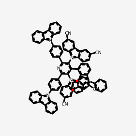 N#Cc1ccc2c(c1)c1cc(C#N)ccc1n2-c1c(-c2ccc(-n3c4ccccc4c4ccccc43)cc2)nc(-c2ccc(-n3c4ccccc4c4ccccc43)cc2)c(-n2c3ccc(C#N)cc3c3cc(C#N)ccc32)c1-c1cccc2c1c1ccccc1n2-c1ccccc1